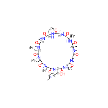 C/C=C/C[C@@H](C)[C@@H](O)[C@H]1C(=O)N[C@@H](CC)C(=O)N(C)CC(=O)N(C)[C@H](C)C(=O)N[C@@H](C(C)C)C(=O)N(C)[C@@H](C)C(=O)N[C@@H](CC(C)C)C(=O)N[C@H](C)C(=O)N(C)[C@@H](CC(C)C)C(=O)N(C)[C@H](CC(C)C)C(=O)N(C)[C@@H](C(C)C)C(=O)N1C